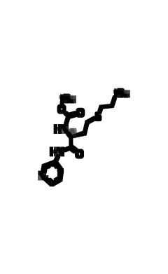 CC(C)(C)CCSCC[C@H](NC(=O)OC(C)(C)C)C(=O)Nc1cccnc1